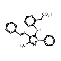 Cc1nn(-c2ccccc2)c(Nc2ccccc2CC(=O)O)c1N=Nc1ccccc1